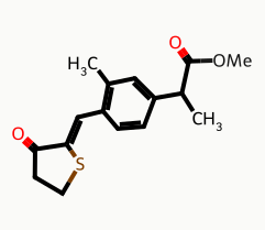 COC(=O)C(C)c1ccc(/C=C2\SCCC2=O)c(C)c1